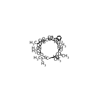 CCC(C)[C@@H]1NC(=O)CN(C)C(=O)[C@@H](Cc2ccccc2)N(C)C(=O)[C@H](C)NC(=O)[C@@H](CC(C)C)OC(=O)/C(C)=C/CCC[C@H](C(C)C)OC(=O)[C@@H](C)N(C)C1=O